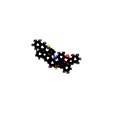 c1ccc2c(c1)-c1ccccc1C21c2cc(N(c3ccc4c(c3)C3(c5ccccc5-c5ccccc53)c3ccc5ccccc5c3O4)c3cccc4sc5ccccc5c34)ccc2Sc2cc3ccccc3cc21